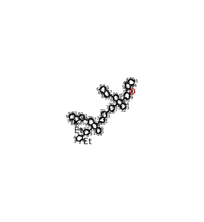 CCc1ccccc1-c1ccc(-c2c3ccccc3c(-c3ccc4cc(-c5ccc(-c6c7ccccc7c(-c7ccc8oc9c%10ccccc%10ccc9c8c7)c7ccc(-c8ccc9ccccc9c8)cc67)cc5)ccc4c3)c3ccc(-c4ccc5c(c4)C(C)(C)c4ccccc4-5)cc23)cc1CC